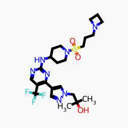 CC(C)(O)Cn1cc(-c2nc(NC3CCN(S(=O)(=O)CCCN4CCC4)CC3)ncc2C(F)(F)F)cn1